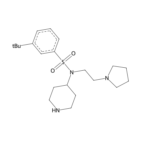 CC(C)(C)c1cccc(S(=O)(=O)N(CCN2CCCC2)C2CCNCC2)c1